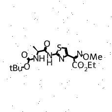 CCOC(=O)C(=NOC)c1csc(NC(=O)[C@H](C)NC(=O)OC(C)(C)C)n1